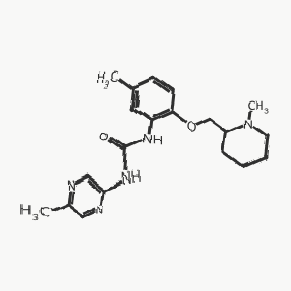 Cc1ccc(OCC2CCCCN2C)c(NC(=O)Nc2cnc(C)cn2)c1